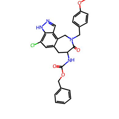 COc1ccc(CN2Cc3c(cc(Cl)c4[nH]ncc34)CC(NC(=O)OCc3ccccc3)C2=O)cc1